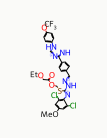 CCOCC(=O)OCS/C(=N\c1c(Cl)cc(OC)cc1Cl)N/N=C/c1ccc(C(=N)/N=C\Nc2ccc(OC(F)(F)F)cc2)cc1